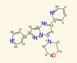 c1ccc(-c2cc(N3CCOCC3)n3nc(-c4ccncc4)cc3n2)nc1